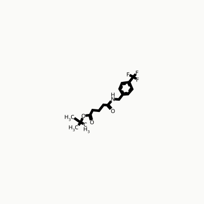 CC(C)(C)OC(=O)CCCC(=O)NCc1ccc(C(F)(F)F)cc1